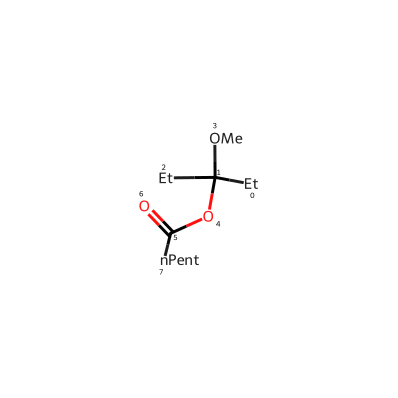 [CH2]CC(CC)(OC)OC(=O)CCCCC